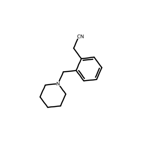 N#CCc1ccccc1CN1CCCCC1